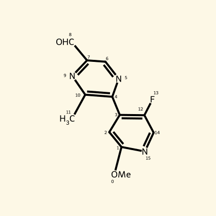 COc1cc(-c2ncc(C=O)nc2C)c(F)cn1